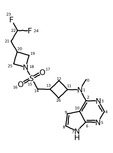 CN(c1ncnc2[nH]ccc12)C1CC(CS(=O)(=O)N2CC(CC(F)F)C2)C1